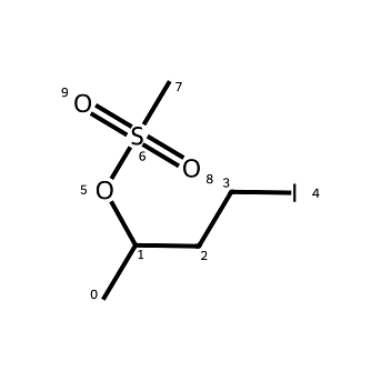 CC(CCI)OS(C)(=O)=O